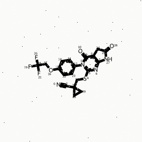 N#CC1(CSc2nc3c(c(=O)n2-c2ccc(OCC(F)(F)F)cc2)CC(=O)N3)CC1